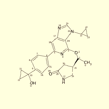 CC(Oc1nc(-c2ccc(C3(O)CC3)cc2)cc2ncn(C3CC3)c12)[C@H]1CNC(=O)C1